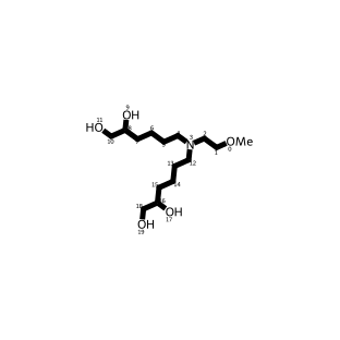 COCCN(CCCCC(O)CO)CCCCC(O)CO